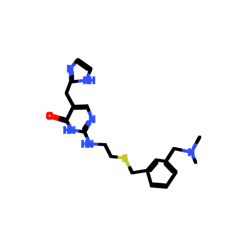 CN(C)Cc1cccc(CSCCNc2ncc(Cc3ncc[nH]3)c(=O)[nH]2)c1